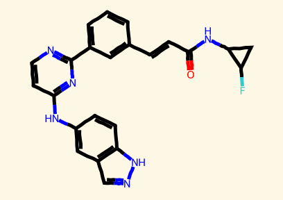 O=C(/C=C/c1cccc(-c2nccc(Nc3ccc4[nH]ncc4c3)n2)c1)NC1CC1F